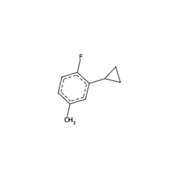 Cc1ccc(F)c(C2CC2)c1